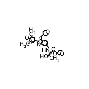 Cc1cc(-c2nc3cc(CN[C@H](C(=O)OC4CCOC4)[C@H](C)O)ccc3n2CC2CCOCC2)cn(C)c1=O